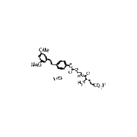 COc1cc(/C=C/c2ccc(OC(=O)OCCNC(=O)C(N)CCC(=O)O)cc2)cc(OC)c1.Cl